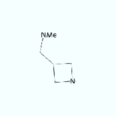 CNCC1C[N]C1